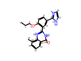 CCCOc1ccc(-c2ncc[nH]2)cc1-c1nc2c(C)cccc2c(=O)[nH]1